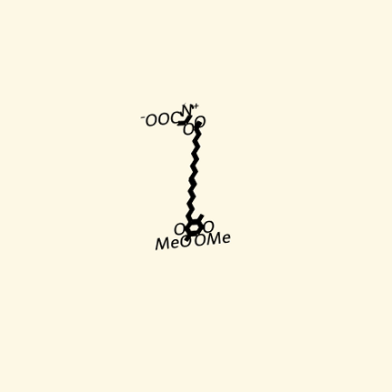 COC1=C(OC)C(=O)C(CCCCCC=CCCCCCCCC(=O)OC(CC(=O)[O-])C[N+](C)(C)C)=C(C)C1=O